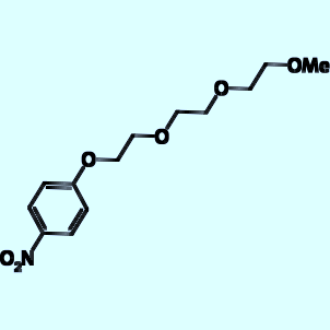 COCCOCCOCCOc1ccc([N+](=O)[O-])cc1